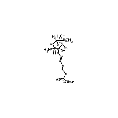 COC(=O)CCCC=CC[C@@H]1[C@@H](N)C[C@H]2C[C@@H]1C2(C)C